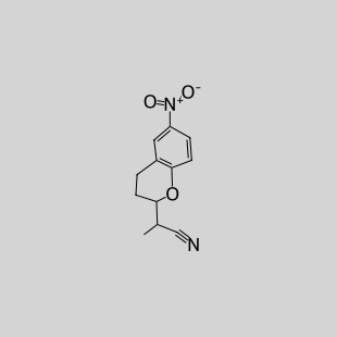 CC(C#N)C1CCc2cc([N+](=O)[O-])ccc2O1